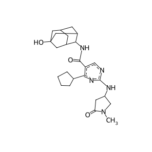 CN1CC(Nc2ncc(C(=O)NC3C4CC5CC3CC(O)(C5)C4)c(C3CCCC3)n2)CC1=O